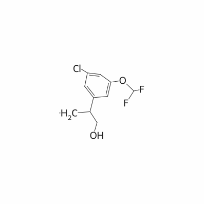 [CH2]C(CO)c1cc(Cl)cc(OC(F)F)c1